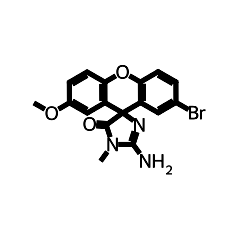 COc1ccc2c(c1)C1(N=C(N)N(C)C1=O)c1cc(Br)ccc1O2